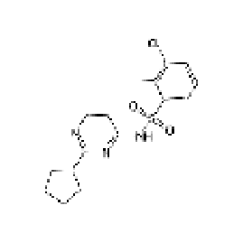 Cc1c(Cl)cccc1S(=O)(=O)Nc1ccnc(C2CCCC2)n1